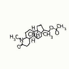 CC(=O)OCC1CC[C@H]2[C@@H]3CCC4N(C)C(=O)CC[C@]4(C)[C@@H]3CC[C@]12C